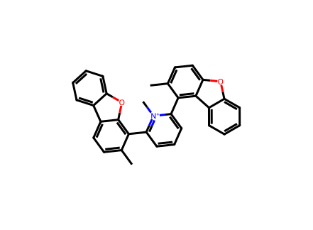 Cc1ccc2c(oc3ccccc32)c1-c1cccc(-c2c(C)ccc3oc4ccccc4c23)[n+]1C